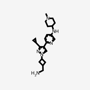 CN1CCC(Nc2ccc(-c3cn(C4CC(CN)C4)nc3C3CC3)nc2)CC1